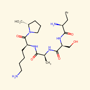 CC(C)C[C@H](N)C(=O)N[C@@H](CO)C(=O)N[C@@H](C)C(=O)N[C@@H](CCCCN)C(=O)N1CCC[C@H]1C(=O)O